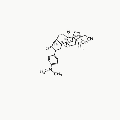 CN(C)c1ccc(C2C[C@H]3C(=CC2=O)CC[C@@H]2[C@@H]3CC[C@@]3(C)[C@H]2CC[C@@]3(O)CC#N)cc1